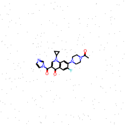 CC(=O)N1CCN(c2cc3c(cc2F)c(=O)c(C(=O)n2ccnc2)cn3C2CC2)CC1